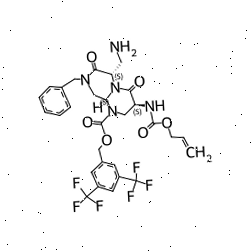 C=CCOC(=O)N[C@H]1CN(C(=O)OCc2cc(C(F)(F)F)cc(C(F)(F)F)c2)[C@H]2CN(Cc3ccccc3)C(=O)[C@H](CN)N2C1=O